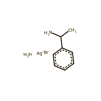 CC(N)c1ccccc1.[Ag+].[Br-].[InH3]